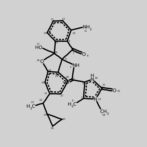 Cc1c(C(=O)NC23C(=O)c4c(N)cccc4C2(O)Oc2cc(C(C)C4CC4)ccc23)[nH]c(=O)n1C